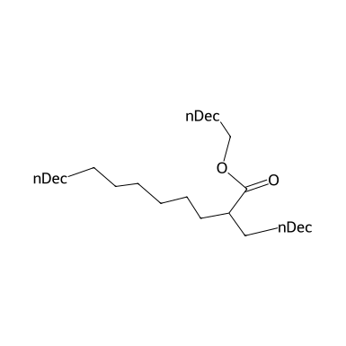 CCCCCCCCCCCCCCCCC(CCCCCCCCCCC)C(=O)OCCCCCCCCCCC